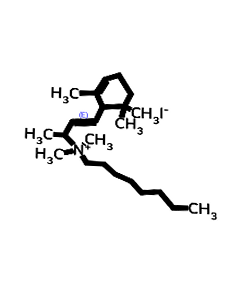 CCCCCCCC[N+](C)(C)C(C)/C=C/C1C(C)=CCCC1(C)C.[I-]